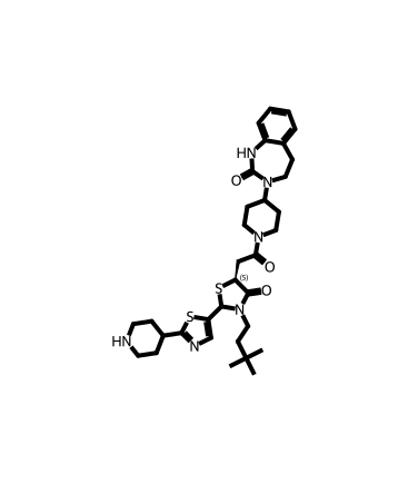 CC(C)(C)CCN1C(=O)[C@H](CC(=O)N2CCC(N3CCc4ccccc4NC3=O)CC2)SC1c1cnc(C2CCNCC2)s1